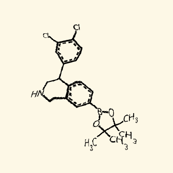 CC1(C)OB(c2ccc3c(c2)CNCC3c2ccc(Cl)c(Cl)c2)OC1(C)C